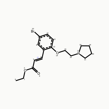 CCOC(=O)/C=C/c1cc(Br)ccc1OCCN1CCCC1